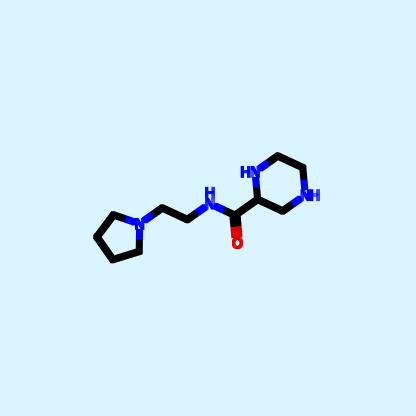 O=C(NCCN1CCCC1)C1CNCCN1